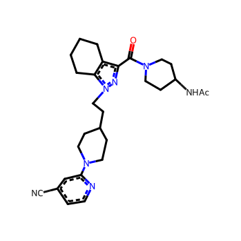 CC(=O)NC1CCN(C(=O)c2nn(CCC3CCN(c4cc(C#N)ccn4)CC3)c3c2CCCC3)CC1